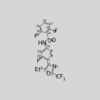 CCc1oc(C(F)(F)F)nc1-c1ccc(NC(=O)c2c(F)cccc2F)cc1F